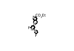 CCOC(=O)c1cc2c(cn1)CN(c1cc(F)nc(N3CCC(F)C3)c1)CC2